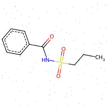 CCCS(=O)(=O)NC(=O)c1[c]cccc1